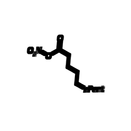 CCCCCCCCCC(=O)O[N+](=O)[O-]